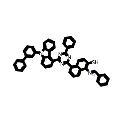 Sc1ccc2c(-c3nc(-c4ccccc4)nc(-c4cccc5c4c4ccccc4n5-c4cccc(-c5ccccc5)c4)n3)cccc2c1/N=C/c1ccccc1